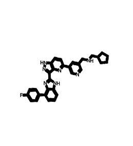 Fc1ccc(-c2cccc3[nH]c(-c4n[nH]c5ccc(-c6cncc(CNCC7CCCC7)c6)nc45)nc23)cc1